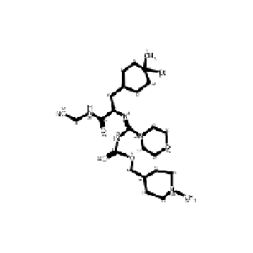 CCC1(C)CCC(CC(N=C(NC(=O)OCC2CCN(C)CC2)N2CCOCC2)C(=O)NCC#N)CC1